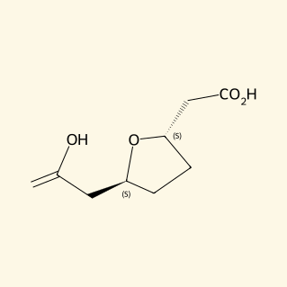 C=C(O)C[C@@H]1CC[C@@H](CC(=O)O)O1